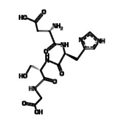 N[C@@H](CC(=O)O)C(=O)N[C@@H](Cc1c[nH]cn1)C(=O)N[C@@H](CO)C(=O)NCC(=O)O